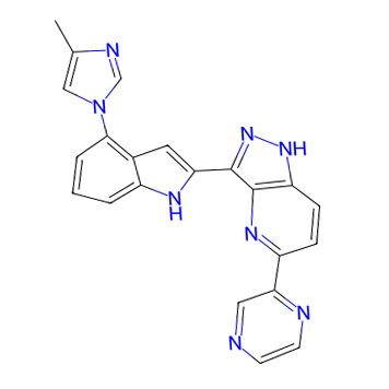 Cc1cn(-c2cccc3[nH]c(-c4n[nH]c5ccc(-c6cnccn6)nc45)cc23)cn1